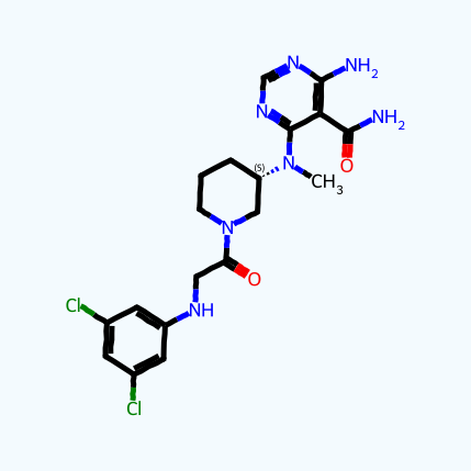 CN(c1ncnc(N)c1C(N)=O)[C@H]1CCCN(C(=O)CNc2cc(Cl)cc(Cl)c2)C1